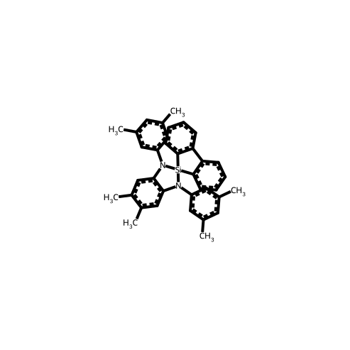 Cc1cc(C)cc(N2c3cc(C)c(C)cc3N(c3cc(C)cc(C)c3)[Si]23c2ccccc2-c2ccccc23)c1